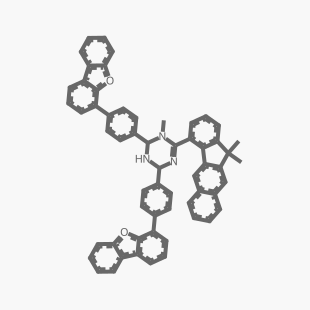 CN1C(c2cccc3c2-c2cc4ccccc4cc2C3(C)C)=NC(c2ccc(-c3cccc4c3oc3ccccc34)cc2)NC1c1ccc(-c2cccc3c2oc2ccccc23)cc1